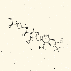 C=CC(=O)N1CC(NC(=O)c2c(C)nc(CNC(=N)c3cc(C(C)(C)C)c(Cl)cc3N)n2C2CC2)C1